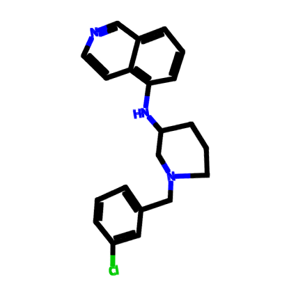 Clc1cccc(CN2CCCC(Nc3cccc4cnccc34)C2)c1